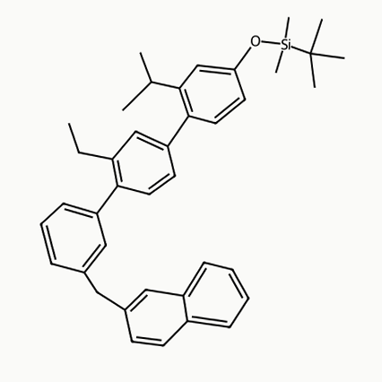 CCc1cc(-c2ccc(O[Si](C)(C)C(C)(C)C)cc2C(C)C)ccc1-c1cccc(Cc2ccc3ccccc3c2)c1